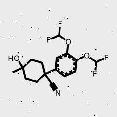 CC1(O)CCC(C#N)(c2ccc(OC(F)F)c(OC(F)F)c2)CC1